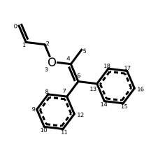 C=CCOC(C)=C(c1ccccc1)c1ccccc1